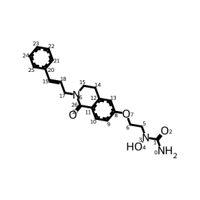 NC(=O)N(O)CCOc1ccc2c(c1)CCN(CC=Cc1ccccc1)C2=O